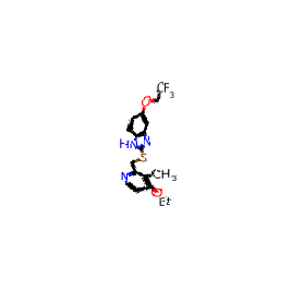 CCOc1ccnc(CSc2nc3cc(OCC(F)(F)F)ccc3[nH]2)c1C